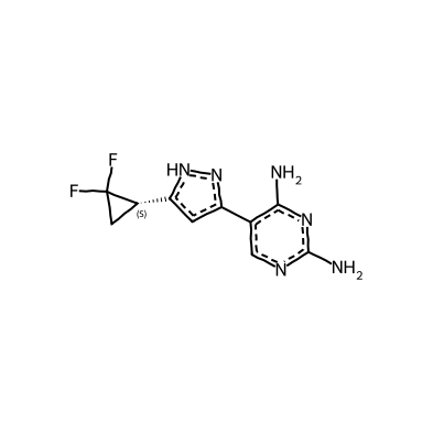 Nc1ncc(-c2cc([C@@H]3CC3(F)F)[nH]n2)c(N)n1